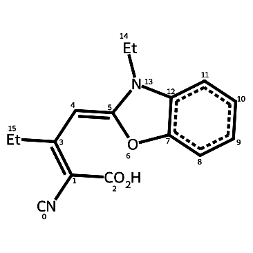 [C-]#[N+]C(C(=O)O)=C(C=C1Oc2ccccc2N1CC)CC